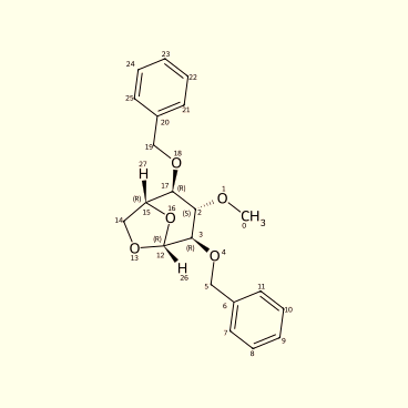 CO[C@@H]1[C@@H](OCc2ccccc2)[C@@H]2OC[C@@H](O2)[C@H]1OCc1ccccc1